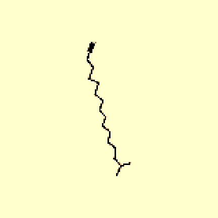 [C]#CCCCCCCCCCCCCCC(C)C